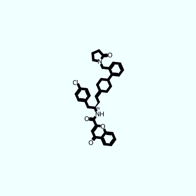 O=C(N[C@H](CC=C1CCC(c2ccccc2CN2CCCC2=O)CC1)Cc1ccc(Cl)cc1)c1cc(=O)c2ccccc2o1